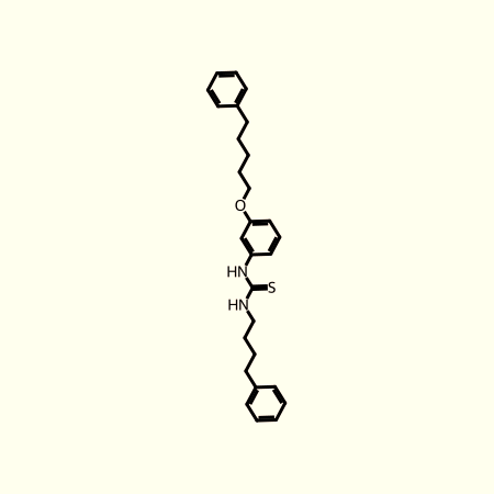 S=C(NCCCCc1ccccc1)Nc1cccc(OCCCCCc2ccccc2)c1